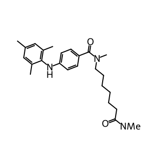 CNC(=O)CCCCCCN(C)C(=O)c1ccc(Nc2c(C)cc(C)cc2C)cc1